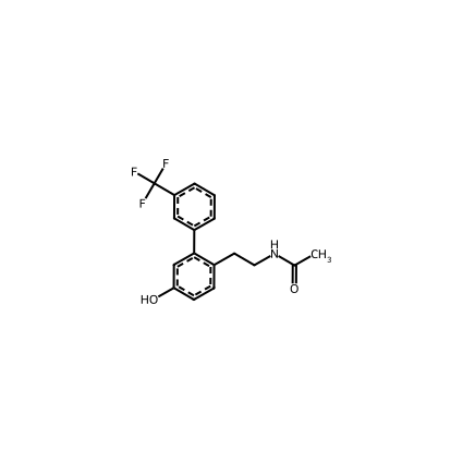 CC(=O)NCCc1ccc(O)cc1-c1cccc(C(F)(F)F)c1